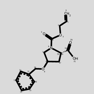 C=CCOC(=O)N1CC(OCc2ccccc2)C[C@H]1C(=O)O